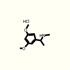 CNC(C)c1cc(OC)cc(OC)c1.Cl